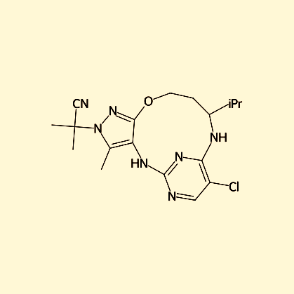 Cc1c2c(nn1C(C)(C)C#N)OCCC(C(C)C)Nc1nc(ncc1Cl)N2